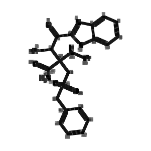 CCCC(C(=O)c1nc2ccccc2s1)C(CS(=O)(=O)Cc1ccccc1)(NC(C)C)C(N)=O